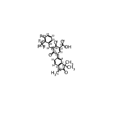 CN1C(=O)C(C)(C)c2cc(-n3cc(C(=O)O)c(=O)n(Cc4cccc(F)c4C(F)(F)F)c3=O)ccc21